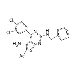 CC(=O)c1sc2nc(NCc3ccccc3)nc(-c3ccc(Cl)c(Cl)c3)c2c1N